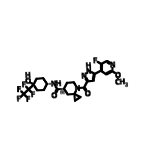 COc1cc(-c2cc(C(=O)N3CC[C@H](C(=O)N[C@H]4CC[C@@](O)(C(F)(F)C(F)(F)F)CC4)CC34CC4)n[nH]2)c(F)cn1